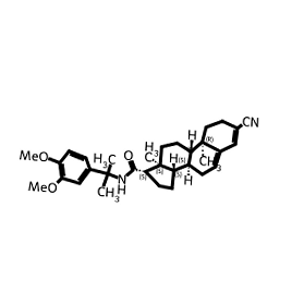 COc1ccc(C(C)(C)NC(=O)[C@H]2CC[C@H]3[C@@H]4CC=C5C=C(C#N)CC[C@]5(C)[C@H]4CC[C@]23C)cc1OC